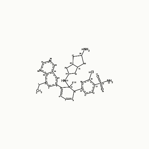 CCc1cc(C2=CC=CC(c3ccc(S(N)(=O)=O)c(Cl)c3)C2(F)NC2CC3CC(N)CC3C2)cc2cncnc12